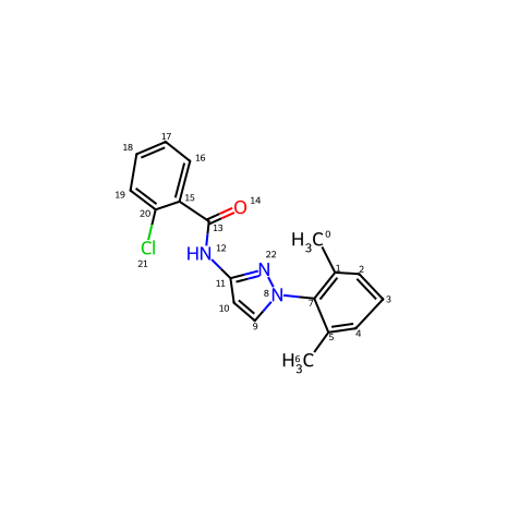 Cc1cccc(C)c1-n1ccc(NC(=O)c2ccccc2Cl)n1